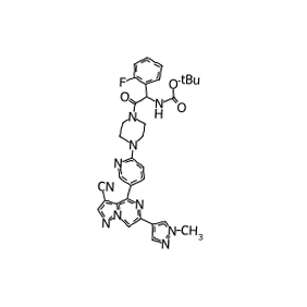 Cn1cc(-c2cn3ncc(C#N)c3c(-c3ccc(N4CCN(C(=O)C(NC(=O)OC(C)(C)C)c5ccccc5F)CC4)nc3)n2)cn1